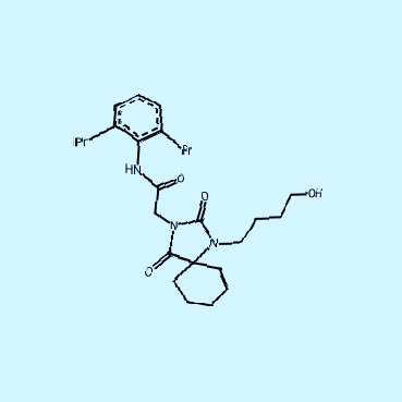 CC(C)c1cccc(C(C)C)c1NC(=O)CN1C(=O)N(CCCCO)C2(CCCCC2)C1=O